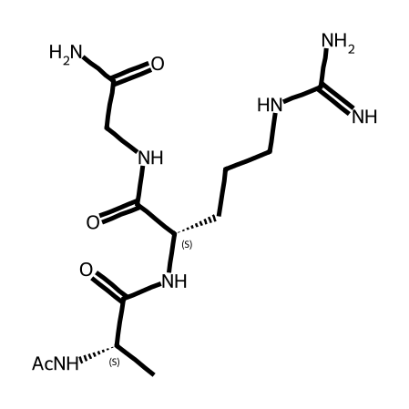 CC(=O)N[C@@H](C)C(=O)N[C@@H](CCCNC(=N)N)C(=O)NCC(N)=O